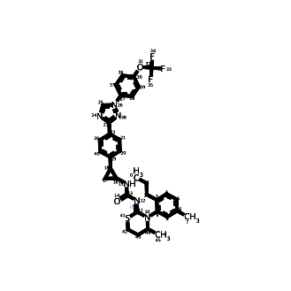 CCCc1ccc(C)cc1N1/C(=N/C(=O)NC2CC2c2ccc(-c3ncn(-c4ccc(OC(F)(F)F)cc4)n3)cc2)SCCC1C